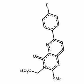 CCOC(=O)Cn1c(SC)nc2ccc(-c3ccc(F)cc3)nc2c1=O